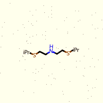 CC(C)SCCNCCSC(C)C